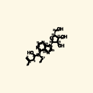 C=C(C)CC(O)N(SC)c1ncnc2c1ncn2[C@@H]1O[C@H](CO)[C@@H](O)[C@H]1O